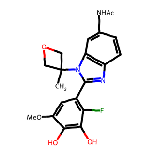 COc1cc(-c2nc3ccc(NC(C)=O)cc3n2C2(C)COC2)c(F)c(O)c1O